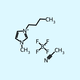 CC#N.CCCC[n+]1ccn(C)c1.F[B-](F)(F)F